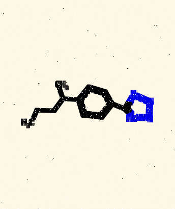 CCCC(C)c1ccc(-c2nnn[nH]2)cc1